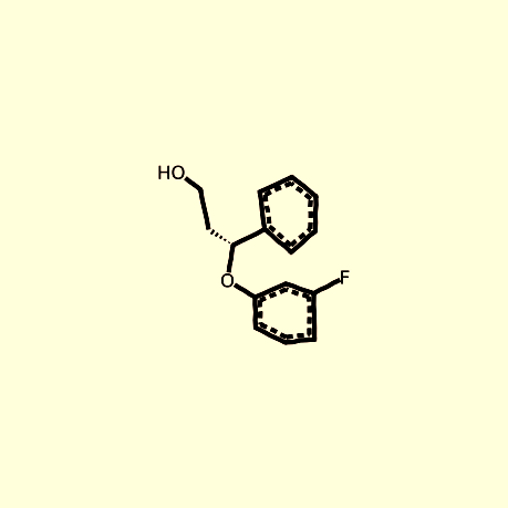 OCC[C@@H](Oc1cccc(F)c1)c1ccccc1